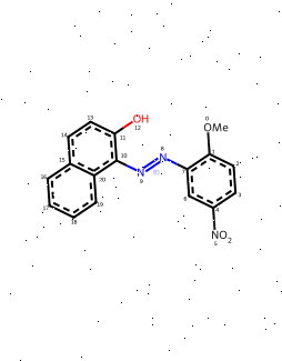 COc1ccc([N+](=O)[O-])cc1/N=N/c1c(O)ccc2ccccc12